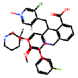 COc1ccc(C(Cc2c(Cl)c[n+]([O-])cc2Cl)c2c(CNC(C(=O)O[C@H]3CN4CCC3CC4)c3cccc(F)c3)cccc2C(=O)O)cc1OC